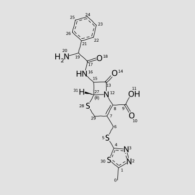 Cc1nnc(SCC2=C(C(=O)O)N3C(=O)C(NC(=O)C(N)c4ccccc4)[C@H]3SC2)s1